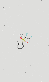 O=S(=O)(c1ccccc1)C(F)(C(F)F)C(F)(F)F